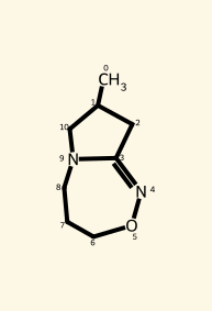 CC1CC2=NOCCCN2C1